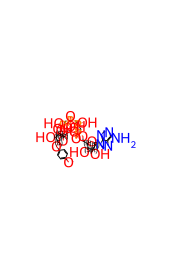 COc1ccc(O[C@@H]2O[C@H](COP(=O)(O)CP(=O)(O)CP(=O)(O)CP(=O)(O)OC[C@H]3O[C@@H](n4cnc5c(N)ncnc54)[C@H](O)[C@@H]3O)[C@@H](O)[C@H]2O)cc1